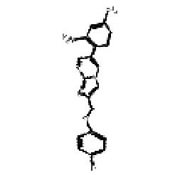 Cc1ccc(-c2cnc3nc(COc4ccc(F)cc4)cn3c2)c(N)c1